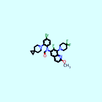 COc1ccc2cc(N(C=O)c3ccc(Br)cc3N3CCC4(CC3)CC4)c(F)c(N3CCC(F)(F)CC3)c2n1